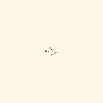 CCCBr.CCCCl